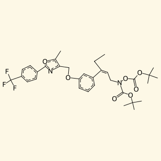 CC/C(=C/CN(OC(=O)OC(C)(C)C)C(=O)OC(C)(C)C)c1cccc(OCc2nc(-c3ccc(C(F)(F)F)cc3)oc2C)c1